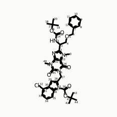 Cn1c(C(COCc2ccccc2)NC(=O)OC(C)(C)C)nc2c1c(=O)n(Cc1cc3c(Cl)cccc3n1C(=O)OC(C)(C)C)c(=O)n2C